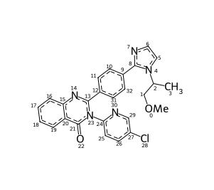 COCC(C)n1ccnc1-c1ccc(-c2nc3ccccc3c(=O)n2-c2ccc(Cl)cn2)cc1